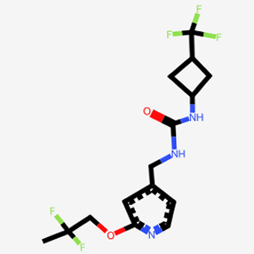 CC(F)(F)COc1cc(CNC(=O)NC2CC(C(F)(F)F)C2)ccn1